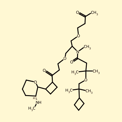 CN[C@@H]1CCCOC1C1CCC1C(=O)CCOCC(COCCC(C)=O)N(C)C(=O)CC(C)(C)OCC(C)(C)C1CCC1